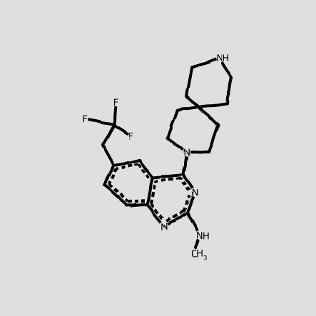 CNc1nc(N2CCC3(CCNCC3)CC2)c2cc(CC(F)(F)F)ccc2n1